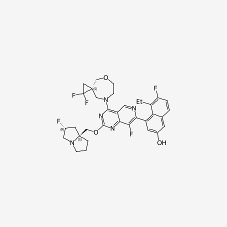 CCc1c(F)ccc2cc(O)cc(-c3ncc4c(N5CCOC[C@@]6(C5)CC6(F)F)nc(OC[C@@]56CCCN5C[C@H](F)C6)nc4c3F)c12